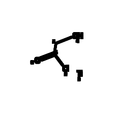 O=C(Cl)CO.[Ti]